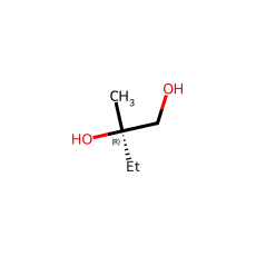 CC[C@@](C)(O)CO